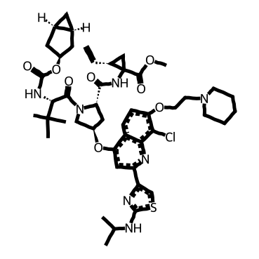 C=C[C@@H]1CC1(NC(=O)[C@@H]1C[C@@H](Oc2cc(-c3csc(NC(C)C)n3)nc3c(Cl)c(OCCN4CCCCC4)ccc23)CN1C(=O)[C@@H](NC(=O)O[C@@H]1C[C@@H]2C[C@@H]2C1)C(C)(C)C)C(=O)OC